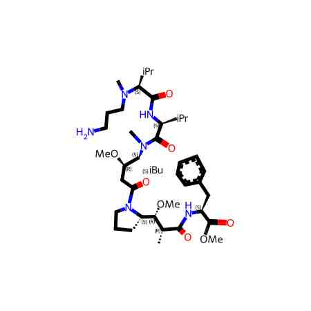 CC[C@H](C)[C@@H]([C@@H](CC(=O)N1CCC[C@H]1[C@H](OC)[C@@H](C)C(=O)N[C@@H](Cc1ccccc1)C(=O)OC)OC)N(C)C(=O)[C@@H](NC(=O)[C@H](C(C)C)N(C)CCCN)C(C)C